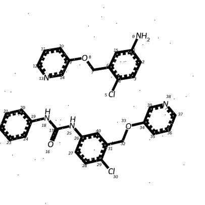 Nc1ccc(Cl)c(COc2cccnc2)c1.O=C(Nc1ccccc1)Nc1ccc(Cl)c(COc2cccnc2)c1